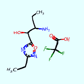 CCc1noc([C@@H](O)C(N)CC)n1.O=C(O)C(F)(F)F